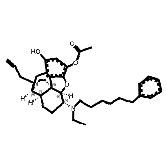 C=CCN1CC[C@]23c4c5c(O)cc(OC(C)=O)c4O[C@H]2[C@H](N(CC)CCCCCCc2ccccc2)CC[C@H]3[C@H]1C5